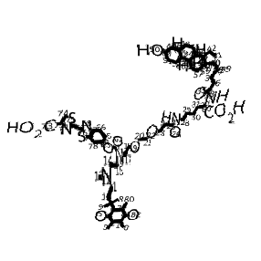 CC1=C(C)C(=O)C(C(C)(C)CCN(C)CCN(CCOCCOCCC(=O)NCCCCC(NC(=O)CC[C@@H](C)[C@H]2CC[C@H]3[C@@H]4CC[C@@H]5C[C@H](O)CC[C@]5(C)[C@H]4CC[C@]23C)C(=O)O)C(=O)Oc2ccc3nc(C4=NC(C(=O)O)CS4)sc3c2)=C(C)C1=O